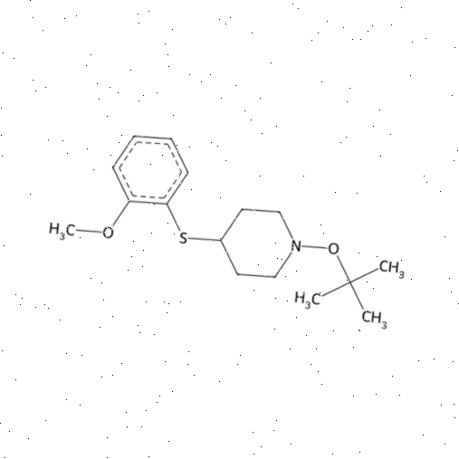 COc1ccccc1SC1CCN(OC(C)(C)C)CC1